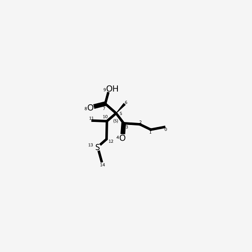 CCCC(=O)[C@@](C)(C(=O)O)C(C)CSC